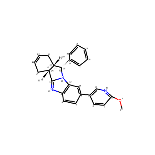 COc1ccc(-c2ccc3nc4n(c3c2)[C@@H](c2ccccc2)[C@H]2CC=CC[C@@H]42)cn1